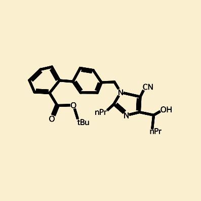 CCCc1nc(C(O)CCC)c(C#N)n1Cc1ccc(-c2ccccc2C(=O)OC(C)(C)C)cc1